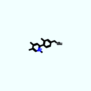 Cc1cc(-c2ccc(CC(C)(C)C)cc2C)[n+](C)cc1C